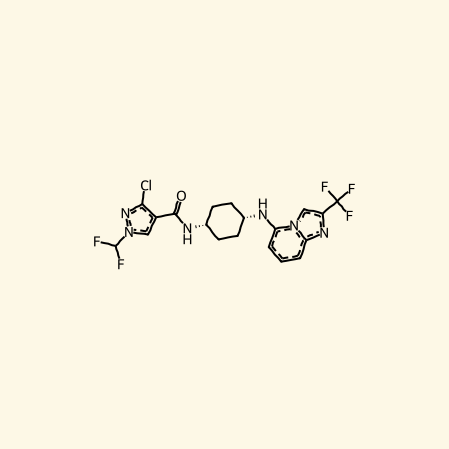 O=C(N[C@H]1CC[C@@H](Nc2cccc3nc(C(F)(F)F)cn23)CC1)c1cn(C(F)F)nc1Cl